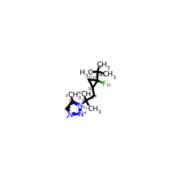 Cc1cnnn1C(C)(C)CC1CC1(F)C(C)(C)C